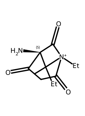 CCC1(C)[C@]2(N)C(=O)CC(=O)[N+]1(CC)C2=O